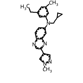 CCc1cc(C)cc(N(CC2CC2)c2ccc3ncc(-c4cnn(C)c4)nc3c2)c1